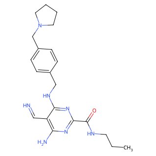 CCCNC(=O)c1nc(N)c(C=N)c(NCc2ccc(CN3CCCC3)cc2)n1